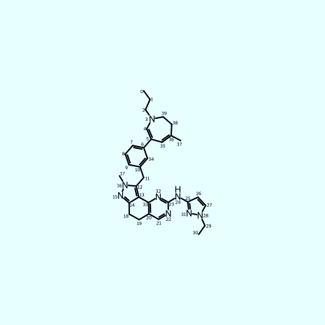 CCCN1C=C(c2cccc(Cc3c4c(nn3C)CCc3cnc(Nc5ccn(CC)n5)nc3-4)c2)C=C(C)CC1